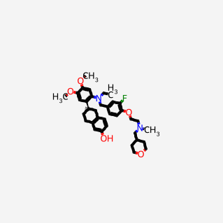 CCN(Cc1ccc(OCCN(C)CC2CCOCC2)c(F)c1)c1cc(OC)c(OC)cc1[C@@H]1CCc2cc(O)ccc2C1